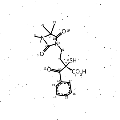 CN1C(=O)N(CC[C@@](S)(C(=O)O)C(=O)c2ccccc2)C(=O)C1(C)C